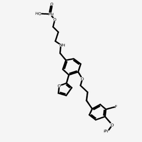 CC(C)Oc1ccc(CCCOc2ccc(CNCCCO[PH](=O)O)cc2-c2ccco2)cc1F